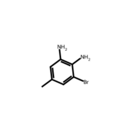 Cc1cc(N)c(N)c(Br)c1